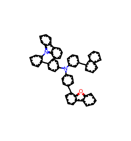 c1cc(-c2cccc3ccccc23)cc(N(c2ccc(-c3ccccc3-n3c4ccccc4c4ccccc43)cc2)c2ccc(-c3cccc4c3oc3ccccc34)cc2)c1